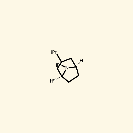 CC(C)C1C[C@H]2CC[C@@H](C1)N2C(C)C